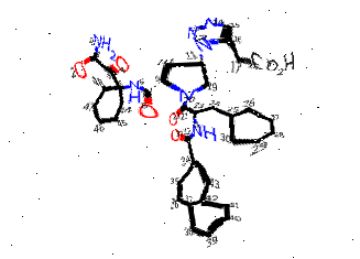 NC(=O)C(=O)C1(NC(=O)[C@@H]2C[C@H](n3nncc3CC(=O)O)CN2C(=O)C(CC2CCCCC2)NC(=O)c2ccc3ccccc3c2)CCCCC1